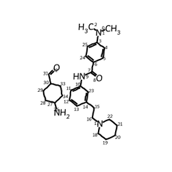 CN(C)c1ccc(C(=O)Nc2cccc(CCN3CCCCC3)c2)cc1.NC1CCC(C=O)CC1